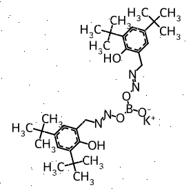 CC(C)(C)c1cc(C/N=N/OB([O-])O/N=N/Cc2cc(C(C)(C)C)cc(C(C)(C)C)c2O)c(O)c(C(C)(C)C)c1.[K+]